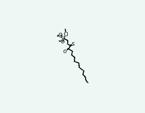 CCCCCCCCCCCC(=O)C(=S)CC[Si](OC)(OC)OC